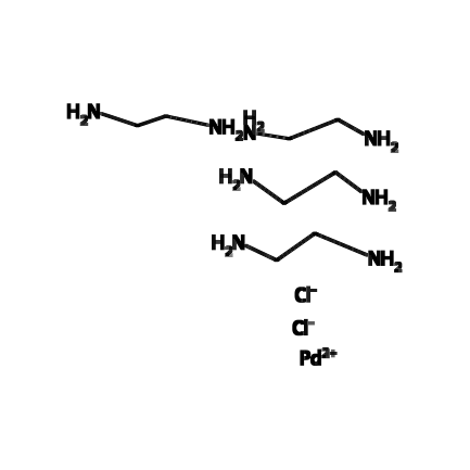 NCCN.NCCN.NCCN.NCCN.[Cl-].[Cl-].[Pd+2]